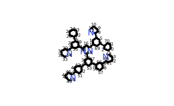 c1ccc(-c2cc(-c3ccccn3)cc(-c3cc(-c4cc(-c5ccccc5)cc(-c5ccccn5)c4)nc(-c4cc(-c5ccc(-c6ccccn6)cc5)cc(-c5cccc(-c6ccccn6)c5)c4)n3)c2)cc1